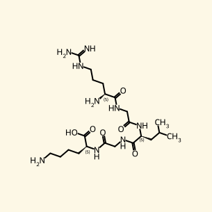 CC(C)C[C@H](NC(=O)CNC(=O)[C@@H](N)CCCNC(=N)N)C(=O)NCC(=O)N[C@@H](CCCCN)C(=O)O